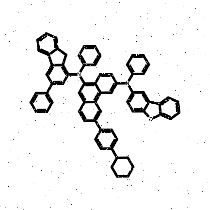 c1ccc(-c2cc3c(c(N(c4ccccc4)c4cc5ccc(-c6ccc(C7CCCCC7)cc6)cc5c5cc(N(c6ccccc6)c6ccc7oc8ccccc8c7c6)ccc45)c2)Cc2ccccc2-3)cc1